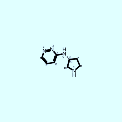 c1cnnc(N[C@@H]2CCNC2)c1